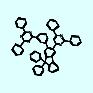 c1ccc(-c2cc(-c3cc4c(cc3-c3cccc(-c5nc(-c6ccccc6)nc(-c6ccccc6)n5)c3)C(c3ccccc3)(c3ccccc3)c3ccccc3-4)nc(-c3ccccc3)n2)cc1